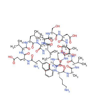 CC[C@H](C)[C@H](NC(=O)[C@H](CC(C)C)NC(=O)[C@@H](NC(=O)[C@H](CCC(=O)O)NC(=O)[C@@H](N)Cc1ccccc1)C(C)C)C(=O)N[C@H](C(=O)N[C@@H](C)C(=O)N[C@@H](CO)C(=O)N[C@@H](CC(=O)O)C(=O)N[C@@H](CC(=O)O)C(=O)NCC(=O)N[C@@H](Cc1ccccc1)C(=O)N[C@@H](CCCCN)C(=O)N[C@@H](C)C(=O)N[C@H](C(=O)N[C@H](C(=O)NCC(N)=O)C(C)C)C(C)C)[C@@H](C)CC